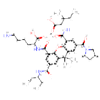 CCC(CC)NC(=O)c1cc(C(=O)N[C@@H](CCCCN)C(=O)O)c2c(c1)C(C)(C)c1cc(C(=O)N3CCCC3)cc(C(=O)N[C@H](C(=O)O)C(C)CC)c1O2